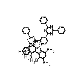 Bc1cc(B)c2c(c1B)c1c(B)c(B)cc(B)c1n2-c1ccc(-c2nc(-c3ccccc3)nc(-c3ccccc3)n2)cc1-c1nc(-c2ccccc2)nc(-c2ccccc2)n1